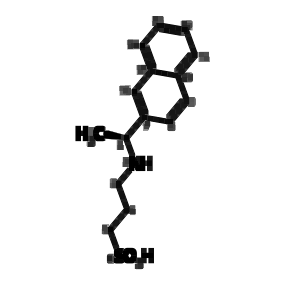 C[C@H](NCCCS(=O)(=O)O)c1ccc2ccccc2c1